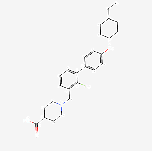 CC[C@H]1CC[C@H](Oc2ccc(-c3cccc(CN4CCC(C(=O)O)CC4)c3F)cc2)CC1